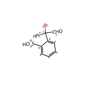 CCCC(Br)(C=O)c1ccccc1S(=O)(=O)O